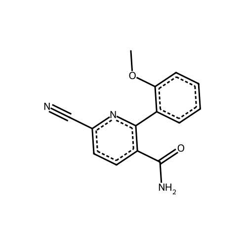 COc1ccccc1-c1nc(C#N)ccc1C(N)=O